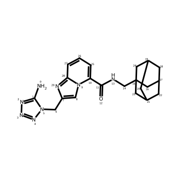 Nc1nnnn1Cc1cn2c(C(=O)NCC34CC5CC(CC(C5)C3)C4)cccc2n1